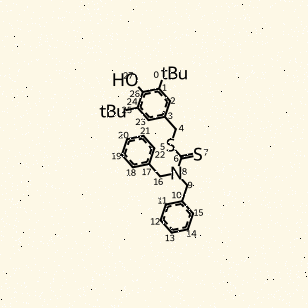 CC(C)(C)c1cc(CSC(=S)N(Cc2ccccc2)Cc2ccccc2)cc(C(C)(C)C)c1O